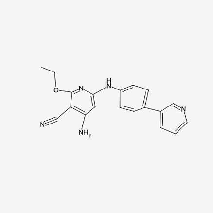 CCOc1nc(Nc2ccc(-c3cccnc3)cc2)cc(N)c1C#N